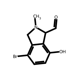 CN1Cc2c(Br)ccc(O)c2C1C=O